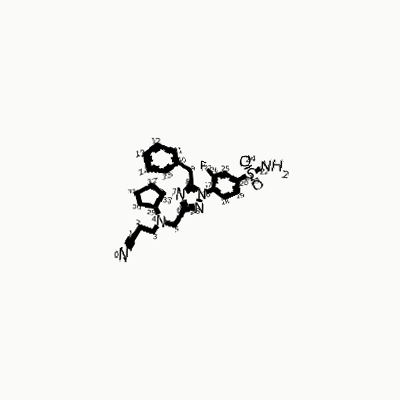 N#CCCN(Cc1nc(Cc2ccccc2)n(-c2ccc(S(N)(=O)=O)cc2F)n1)C1CCCC1